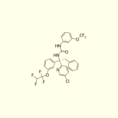 O=C(Nc1cccc(OC(F)(F)F)c1)N[C@](Cc1ccccc1)(c1cccc(OC(F)(F)C(F)F)c1)c1ccc(Cl)cn1